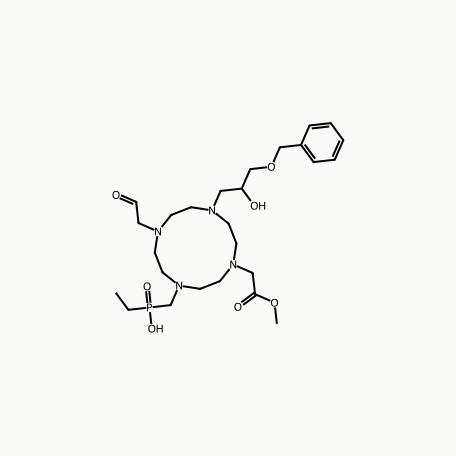 CCP(=O)(O)CN1CCN(CC=O)CCN(CC(O)COCc2ccccc2)CCN(CC(=O)OC)CC1